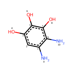 Nc1cc(O)c(O)c(O)c1N